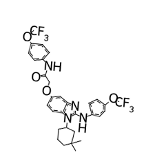 CC1(C)CCCC(n2c(Nc3ccc(OC(F)(F)F)cc3)nc3cc(OCC(=O)Nc4ccc(OC(F)(F)F)cc4)ccc32)C1